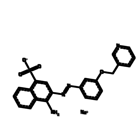 Nc1c(N=Nc2cccc(OCc3cccnc3)c2)cc(S(=O)(=O)[O-])c2ccccc12.[Na+]